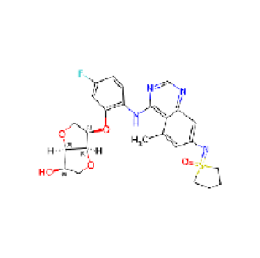 Cc1cc(N=S2(=O)CCCC2)cc2ncnc(Nc3ccc(F)cc3O[C@@H]3CO[C@H]4[C@@H]3OC[C@H]4O)c12